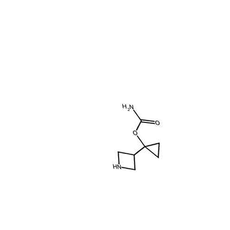 NC(=O)OC1(C2CNC2)CC1